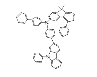 CC1(C)c2ccc(N(c3ccc(-c4ccccc4)cc3)c3ccc(-c4ccc5c6ccccc6n(-c6ccccc6)c5c4)cc3)cc2-c2c(-c3ccccc3)cccc21